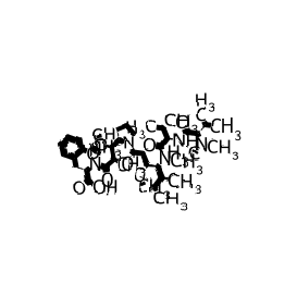 CC[C@H](C)[C@@H](C(CC(=O)N1CCC[C@H]1[C@H](OC)[C@@H](C)C(=O)N[C@@H](Cc1ccccc1OC)C(=O)O)OC)N(C)C(=O)[C@@H](NC(=O)[C@H](C(C)C)N(C)C)C(C)C